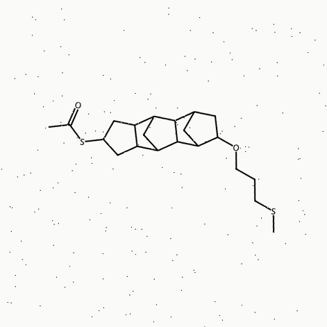 CSCCCOC1CC2CC1C1C3CC(C4CC(SC(C)=O)CC43)C21